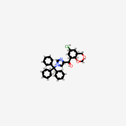 O=C(c1cn(C(c2ccccc2)(c2ccccc2)c2ccccc2)cn1)c1cc(Cl)cc2c1OCOC2